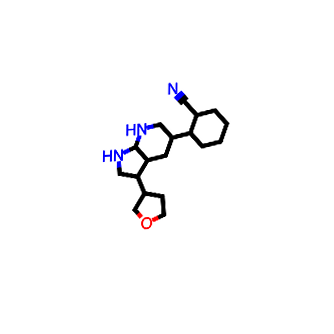 N#CC1CCCCC1C1CNC2NCC(C3CCOC3)C2C1